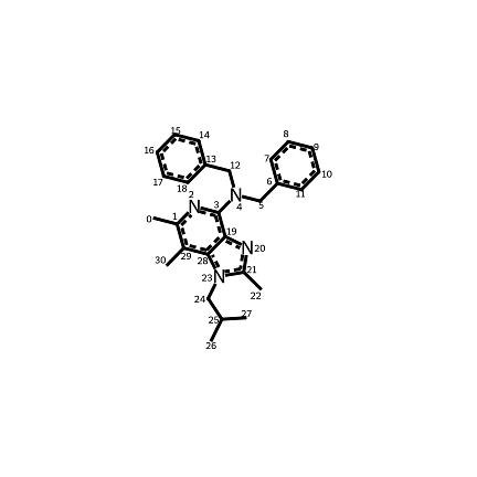 Cc1nc(N(Cc2ccccc2)Cc2ccccc2)c2nc(C)n(CC(C)C)c2c1C